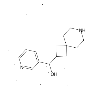 OC(c1cccnc1)C1CC2(CCNCC2)C1